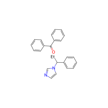 CCC(c1ccccc1)n1ccnc1.O=C(c1ccccc1)c1ccccc1